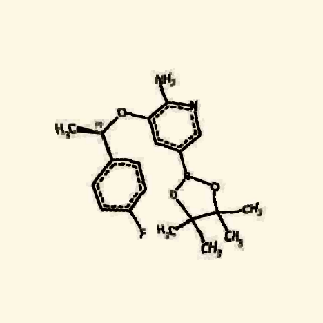 C[C@@H](Oc1cc(B2OC(C)(C)C(C)(C)O2)cnc1N)c1ccc(F)cc1